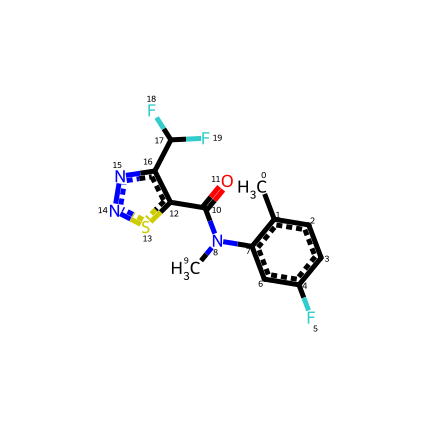 Cc1ccc(F)cc1N(C)C(=O)c1snnc1C(F)F